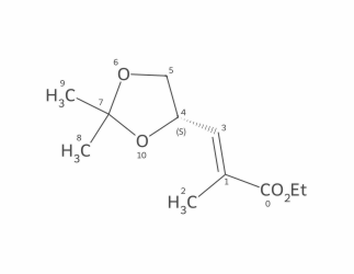 CCOC(=O)C(C)=C[C@H]1COC(C)(C)O1